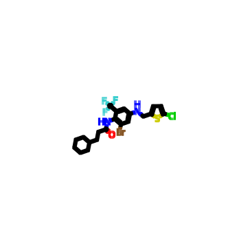 O=C(CCC1CCCCC1)Nc1c(Br)cc(NCc2ccc(Cl)s2)cc1C(F)(F)F